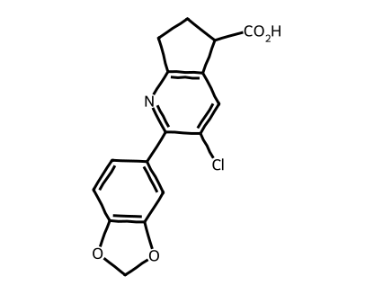 O=C(O)C1CCc2nc(-c3ccc4c(c3)OCO4)c(Cl)cc21